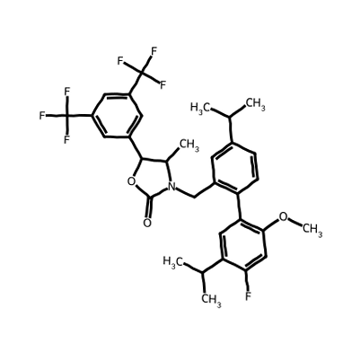 COc1cc(F)c(C(C)C)cc1-c1ccc(C(C)C)cc1CN1C(=O)OC(c2cc(C(F)(F)F)cc(C(F)(F)F)c2)C1C